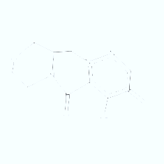 O=C1c2c(O)c(=O)cnn2CC2COCCN12